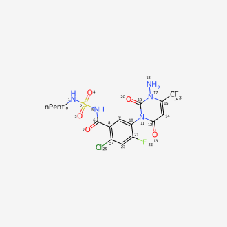 CCCCCNS(=O)(=O)NC(=O)c1cc(-n2c(=O)cc(C(F)(F)F)n(N)c2=O)c(F)cc1Cl